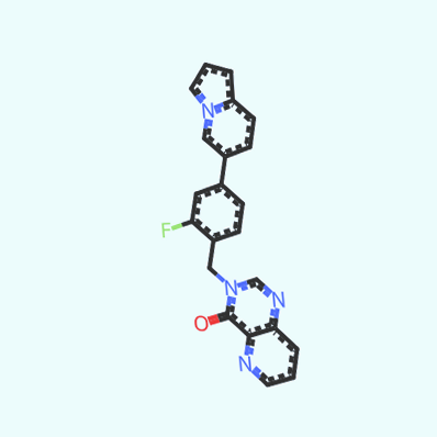 O=c1c2ncccc2ncn1Cc1ccc(-c2ccc3cccn3c2)cc1F